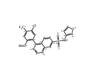 COc1cc(C(F)(F)F)c(Cl)cc1-c1ncnc2cc(S(=O)(=O)Nc3ccon3)ccc12